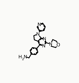 NCc1ccc(-c2nc(N3CCOCC3)nc3c2CCN3c2cccnc2)cc1